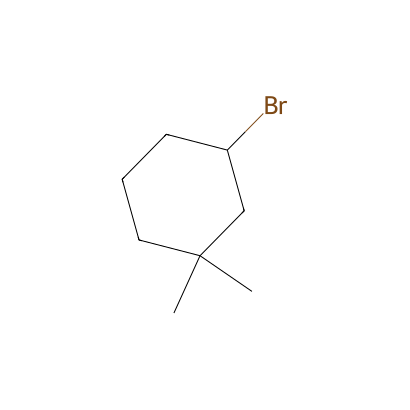 CC1(C)CCCC(Br)C1